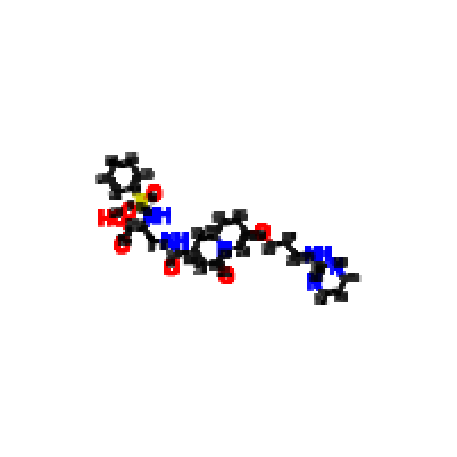 O=C(NC[C@H](NS(=O)(=O)c1ccccc1)C(=O)O)c1cc(=O)n2cc(OCCCNc3ncccn3)ccc2c1